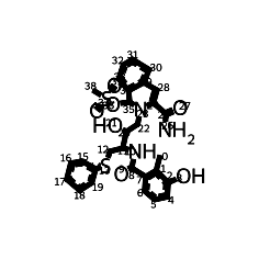 Cc1c(O)cccc1C(=O)NC(CSc1ccccc1)C(O)CN1C(C(N)=O)=Cc2ccccc2C1OS(C)(=O)=O